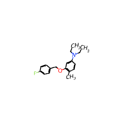 CCN(CC)c1ccc(C)c(OCc2ccc(F)cc2)c1